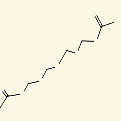 CC(=O)OCSCOCSCOC(C)=O